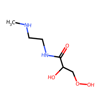 CNCCNC(=O)C(O)COO